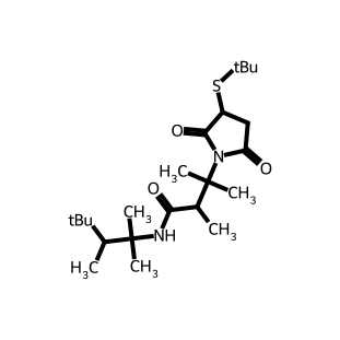 CC(C(C)(C)C)C(C)(C)NC(=O)C(C)C(C)(C)N1C(=O)CC(SC(C)(C)C)C1=O